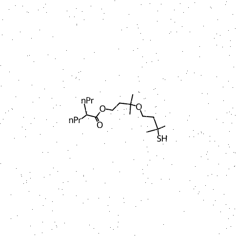 CCCC(CCC)C(=O)OCCC(C)(C)OCCC(C)(C)S